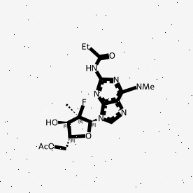 CCC(=O)Nc1nc(NC)c2ncn([C@@H]3O[C@H](COC(C)=O)[C@@H](O)[C@@]3(C)F)c2n1